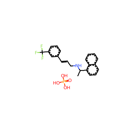 CC(NCC=Cc1cccc(C(F)(F)F)c1)c1cccc2ccccc12.O=P(O)(O)O